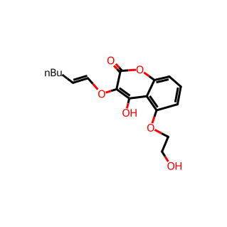 CCCC/C=C/Oc1c(O)c2c(OCCO)cccc2oc1=O